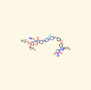 CCOc1cc([C@@H](CC#N)N2C(=O)c3ccc(N4CCN([C@@H]5CCN(Cc6ccc(Oc7ccc8c(N9CCC(=O)NC9=O)nn(C)c8c7)cc6)CC5(F)F)CC4)cc3C2=O)ccc1OC